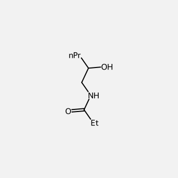 CCCC(O)CNC(=O)CC